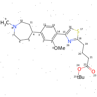 COc1cc(C2CCCN(C)CC2)ccc1-c1csc(CCCC(=O)OC(C)(C)C)n1